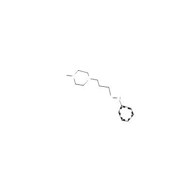 CN1CCN(CCCONc2ccccc2)CC1